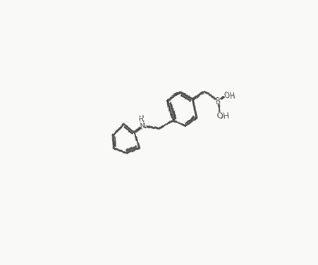 OB(O)Cc1ccc(CNc2ccccc2)cc1